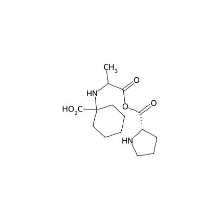 CC(NC1(C(=O)O)CCCCC1)C(=O)OC(=O)[C@@H]1CCCN1